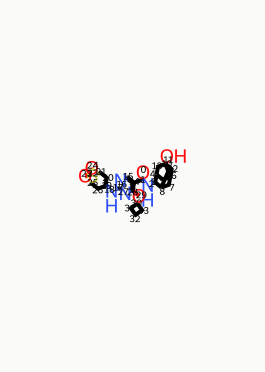 O=C(NC1C2CC3CC1CC(O)(C3)C2)c1cnc(NC2CCS(=O)(=O)CC2)nc1OC1CCC1